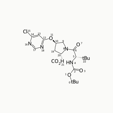 CC(C)(C)OC(=O)N[C@H](C(=O)N1C[C@H](Oc2cc(Cl)ncn2)C[C@H]1C(=O)O)C(C)(C)C